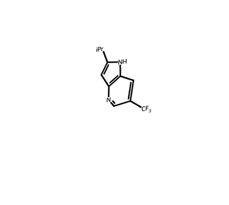 CC(C)c1cc2ncc(C(F)(F)F)cc2[nH]1